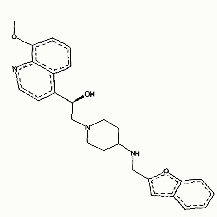 COc1cccc2c([C@@H](O)CN3CCC(NCc4cc5ccccc5o4)CC3)ccnc12